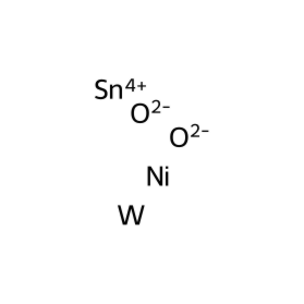 [Ni].[O-2].[O-2].[Sn+4].[W]